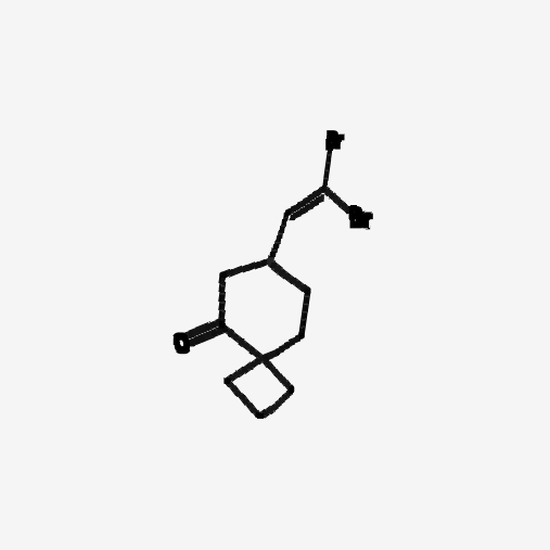 O=C1CC(C=C(Br)Br)CCC12CCC2